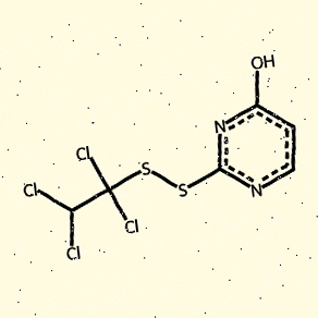 Oc1ccnc(SSC(Cl)(Cl)C(Cl)Cl)n1